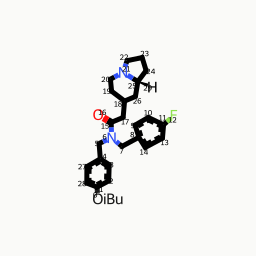 CC(C)COc1ccc(CN(Cc2ccc(F)cc2)C(=O)CC2CCN3CCC[C@@H]3C2)cc1